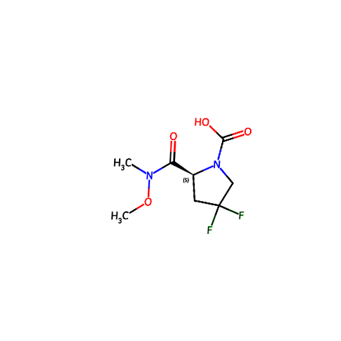 CON(C)C(=O)[C@@H]1CC(F)(F)CN1C(=O)O